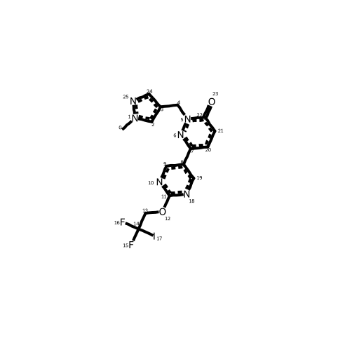 Cn1cc(Cn2nc(-c3cnc(OCC(F)(F)I)nc3)ccc2=O)cn1